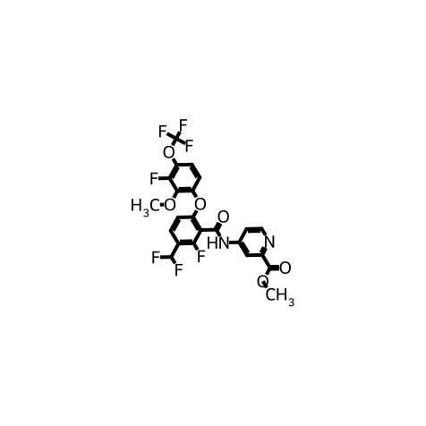 COC(=O)c1cc(NC(=O)c2c(Oc3ccc(OC(F)(F)F)c(F)c3OC)ccc(C(F)F)c2F)ccn1